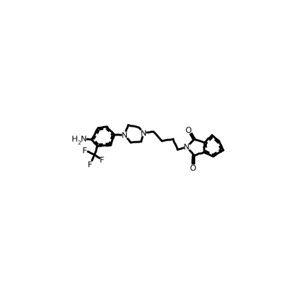 Nc1ccc(N2CCN(CCCCN3C(=O)c4ccccc4C3=O)CC2)cc1C(F)(F)F